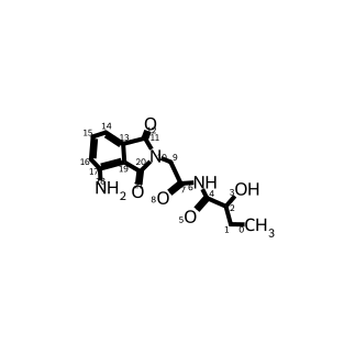 CCC(O)C(=O)NC(=O)CN1C(=O)c2cccc(N)c2C1=O